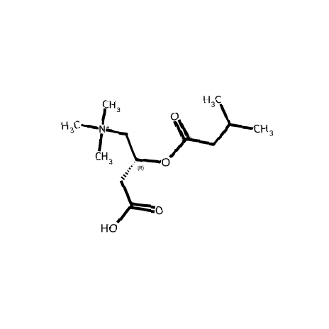 CC(C)CC(=O)O[C@H](CC(=O)O)C[N+](C)(C)C